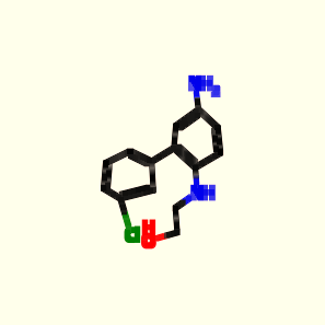 Nc1ccc(NCCO)c(-c2cccc(Cl)c2)c1